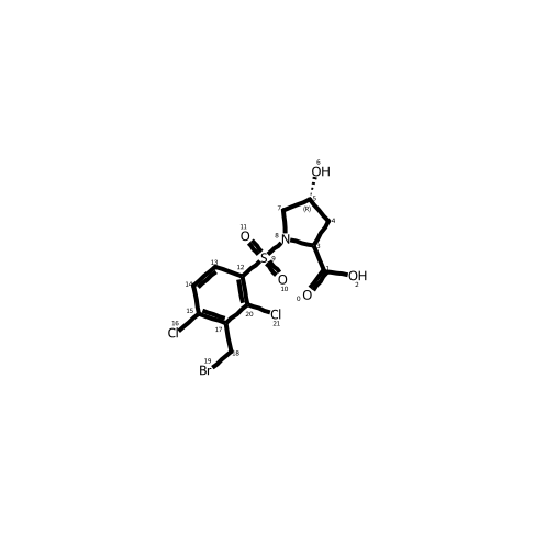 O=C(O)C1C[C@@H](O)CN1S(=O)(=O)c1ccc(Cl)c(CBr)c1Cl